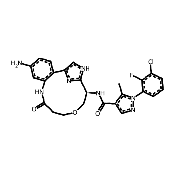 Cc1c(C(=O)N[C@H]2COCCC(=O)Nc3cc(N)ccc3-c3c[nH]c2n3)cnn1-c1cccc(Cl)c1F